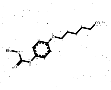 CCOC(=O)CCCCCOc1ccc(NC(=O)OC(C)(C)C)cc1